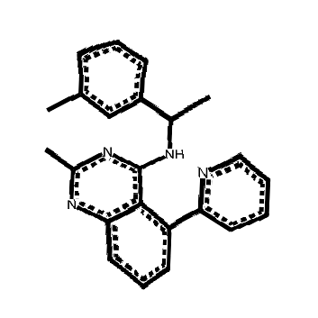 Cc1cccc(C(C)Nc2nc(C)nc3cccc(-c4ccccn4)c23)c1